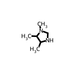 CC1NCN(C)C1C